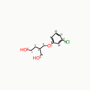 OCCC(CO)COc1cccc(Cl)c1